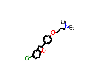 CCN(CC)CCCOc1ccc(-c2cc3cc(Cl)ccc3o2)cc1